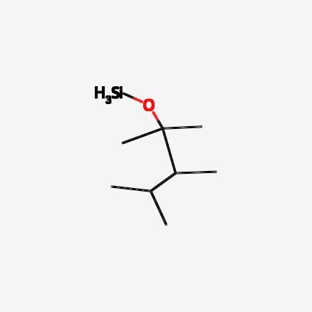 CC(C)C(C)C(C)(C)O[SiH3]